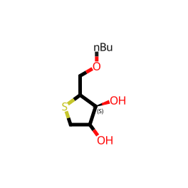 CCCCOCC1SCC(O)[C@@H]1O